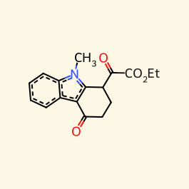 CCOC(=O)C(=O)C1CCC(=O)c2c1n(C)c1ccccc21